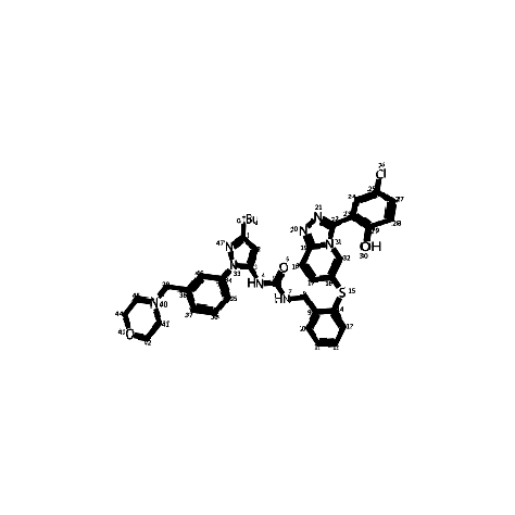 CC(C)(C)c1cc(NC(=O)NCc2ccccc2Sc2ccc3nnc(-c4cc(Cl)ccc4O)n3c2)n(-c2cccc(CN3CCOCC3)c2)n1